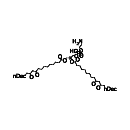 CCCCCCCCCCCC(=O)CC(=O)CCCCCCCCC(=O)OC[C@H](COP(=O)(O)OCCN)OC(=O)CCCCCCCCC(=O)CC(=O)CCCCCCCCCCC